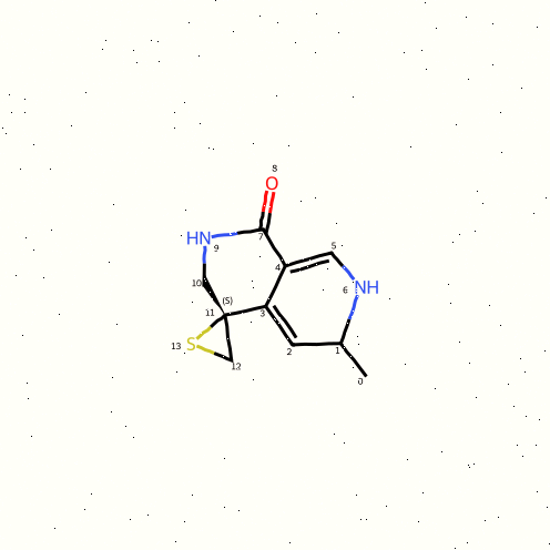 CC1C=C2C(=CN1)C(=O)NC[C@]21CS1